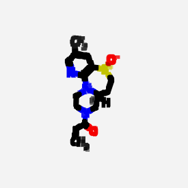 C=CC(=O)N1CCN2c3ncc(C(F)(F)F)cc3[S+]([O-])CC[C@@H]2C1